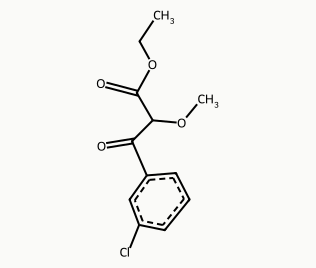 CCOC(=O)C(OC)C(=O)c1cccc(Cl)c1